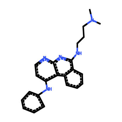 CN(C)CCCNc1nc2nccc(Nc3ccccc3)c2c2ccccc12